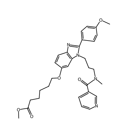 COC(=O)CCCCCOc1ccc2nc(-c3ccc(OC)cc3)n(CCCN(C)C(=O)c3cccnc3)c2c1